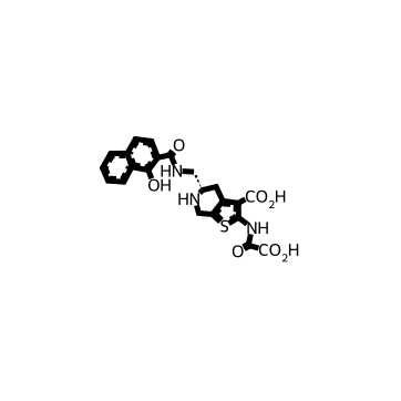 O=C(O)C(=O)Nc1sc2c(c1C(=O)O)C[C@@H](CNC(=O)c1ccc3ccccc3c1O)NC2